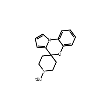 CC(C)(C)N1CCC2(CC1)Oc1ccccc1-n1cccc12